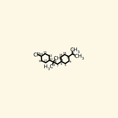 CC(C)C1CCC(CC(C)(C)C2CCC(Cl)CC2)CC1